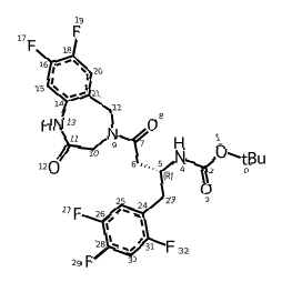 CC(C)(C)OC(=O)N[C@@H](CC(=O)N1CC(=O)Nc2cc(F)c(F)cc2C1)Cc1cc(F)c(F)cc1F